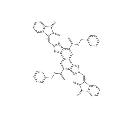 O=C1C(=O)c2ccccc2/C1=C/c1nc2c(C(=O)OCc3ccccc3)cc3c(cc(C(=O)OCc4ccccc4)c4nc(/C=C5\C(=O)C(=O)c6ccccc65)sc43)c2s1